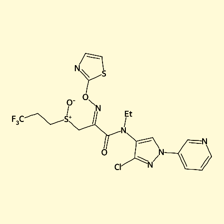 CCN(C(=O)C(C[S+]([O-])CCC(F)(F)F)=NOc1nccs1)c1cn(-c2cccnc2)nc1Cl